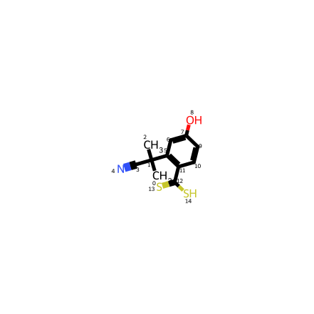 CC(C)(C#N)c1cc(O)ccc1C(=S)S